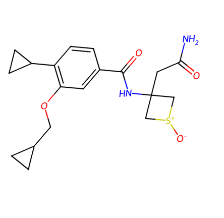 NC(=O)CC1(NC(=O)c2ccc(C3CC3)c(OCC3CC3)c2)C[S+]([O-])C1